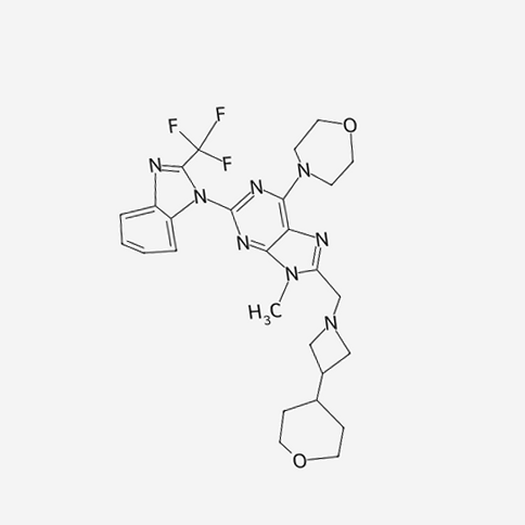 Cn1c(CN2CC(C3CCOCC3)C2)nc2c(N3CCOCC3)nc(-n3c(C(F)(F)F)nc4ccccc43)nc21